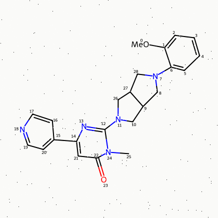 COc1ccccc1N1CC2CN(c3nc(-c4ccncc4)cc(=O)n3C)CC2C1